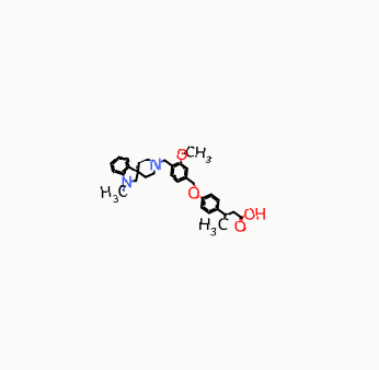 COc1cc(COc2ccc(C(C)CC(=O)O)cc2)ccc1CN1CCC2(CC1)CN(C)c1ccccc12